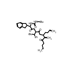 C=CCCC(=O)C(=C)C(CCC=C)CC(=O)C(CC(=O)C(NC(=O)NC(C)CC)C1Cc2ccccc2C1)C(C(C)C)C(C)CC